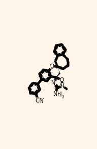 CN1O[C@]2(C[C@]3(CCCc4ccccc4C3)Oc3ccc(-c4cccc(C#N)c4)cc32)N=C1N